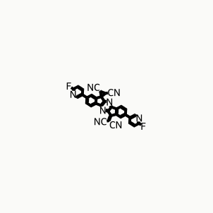 N#CC(C#N)=C1c2cc(-c3ccc(F)nc3)ccc2-c2nc3c(nc21)-c1ccc(-c2ccc(F)nc2)cc1C31C(C#N)C1C#N